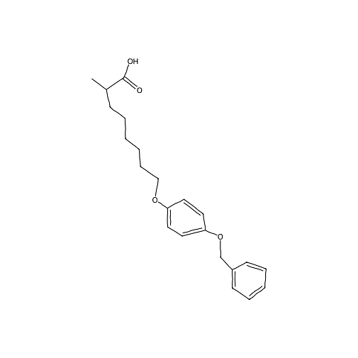 CC(CCCCCCOc1ccc(OCc2ccccc2)cc1)C(=O)O